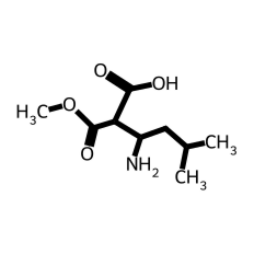 COC(=O)C(C(=O)O)C(N)CC(C)C